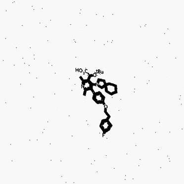 Cc1nc(C)c([C@H](OC(C)(C)C)C(=O)O)c(N2CCC3(CCCCC3)C2)c1-c1ccc(OCCc2ccc(F)cc2)cc1